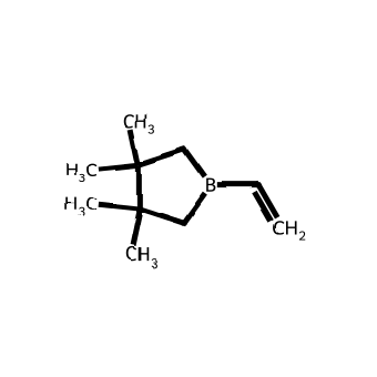 C=CB1CC(C)(C)C(C)(C)C1